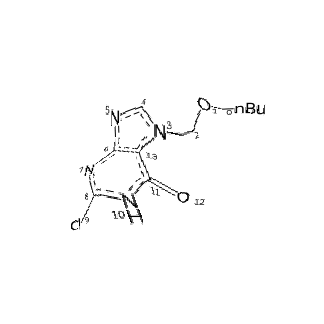 CCCCOCn1cnc2nc(Cl)[nH]c(=O)c21